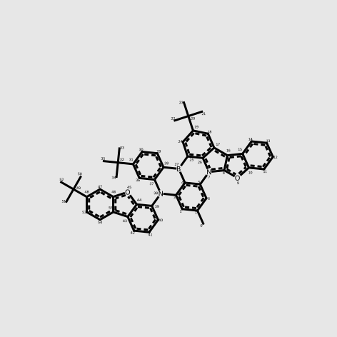 Cc1cc2c3c(c1)-n1c4oc5ccccc5c4c4cc(C(C)(C)C)cc(c41)B3c1ccc(C(C)(C)C)cc1N2c1cccc2c1oc1cc(C(C)(C)C)ccc12